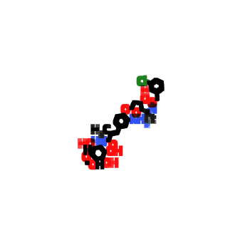 CC/C(=N/OCc1cccc(Cl)c1)[C@H]1O[C@@H](Oc2ccc(/C=C(\C)C(=O)N[C@@H]3[C@H](O)[C@@H](O)[C@H]4OCO[C@H]4[C@@H]3O)cc2N)C[C@@H]1O